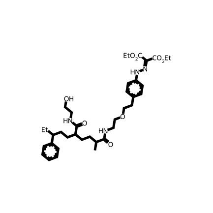 CCOC(=O)C(=NNc1ccc(CCOCCNC(=O)C(C)CCC(CCC(CC)c2ccccc2)C(=O)NCCO)cc1)C(=O)OCC